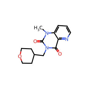 Cn1c(=O)n(CC2CCOCC2)c(=O)c2ncccc21